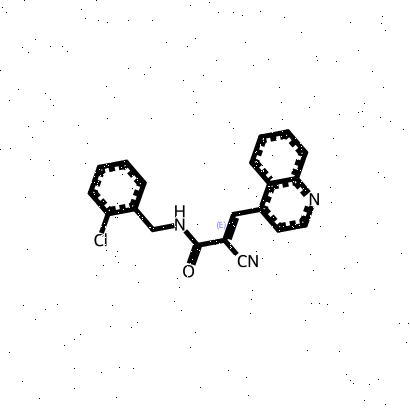 N#C/C(=C\c1ccnc2ccccc12)C(=O)NCc1ccccc1Cl